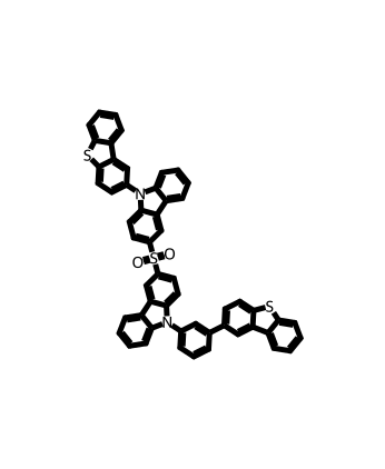 O=S(=O)(c1ccc2c(c1)c1ccccc1n2-c1cccc(-c2ccc3sc4ccccc4c3c2)c1)c1ccc2c(c1)c1ccccc1n2-c1ccc2sc3ccccc3c2c1